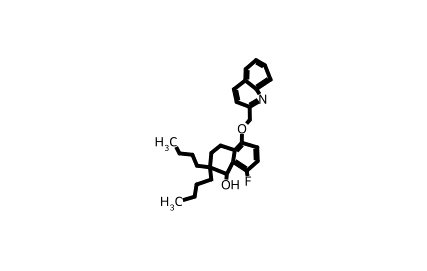 CCCCC1(CCCC)CCc2c(OCc3ccc4ccccc4n3)ccc(F)c2C1O